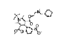 COC(=O)C1=C(C)N(C(C)(C)C)C(C)=C(C(=O)OCCN(C)Cc2ccccc2)C1c1cccc([N+](=O)[O-])c1